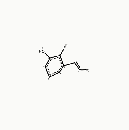 C/C=C/c1cccc(O)c1F